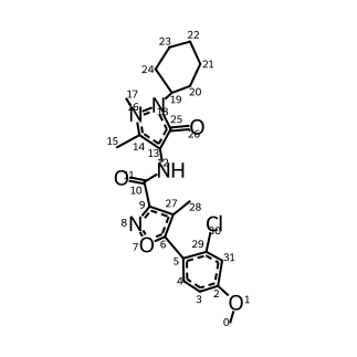 COc1ccc(-c2onc(C(=O)Nc3c(C)n(C)n(C4CCCCC4)c3=O)c2C)c(Cl)c1